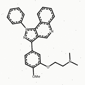 COc1ccc(-c2nn(-c3ccccc3)c3c2cnc2ccccc23)cc1OCCN(C)C